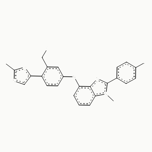 Cc1ncc(-c2ccc(Nc3cccc4c3nc(-c3ccc(F)cc3)n4C)cc2CO)o1